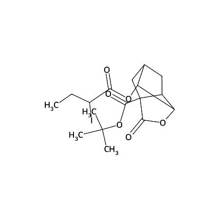 CCC(I)C(=O)OC1C2CC3C1OC(=O)C3(C(=O)OC(C)(C)C)C2